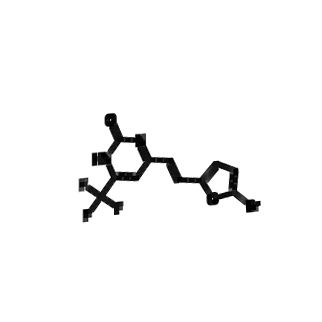 O=c1nc(C=Cc2ccc(Br)o2)cc(C(F)(F)F)[nH]1